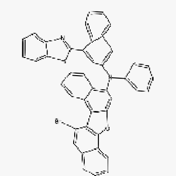 Brc1cc2ccccc2c2oc3cc(N(c4ccccc4)c4cc(-c5nc6ccccc6s5)c5ccccc5c4)c4ccccc4c3c12